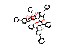 c1ccc(-c2ccc3c(c2)Oc2c4c(c5c(c2-c2ccccc2)Oc2cc(-c6ccccc6)cc6c2B5c2c5c7c(c(-c8ccccc8)c2O6)Oc2cc(-c6ccccc6)ccc2B7c2ccccc2O5)Oc2ccccc2B34)cc1